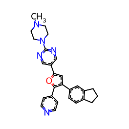 CN1CCN(c2ncc(-c3cc(-c4ccc5c(c4)CCC5)c(-c4ccncc4)o3)cn2)CC1